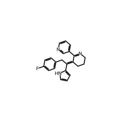 Fc1ccc(CC(=C2CCCN=C2c2cccnc2)c2ccc[nH]2)cc1